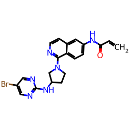 C=CC(=O)Nc1ccc2c(N3CCC(Nc4ncc(Br)cn4)C3)nccc2c1